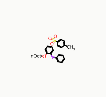 CCCCCCCCOc1ccccc1[I+]c1ccccc1.Cc1ccc(S(=O)(=O)[O-])cc1